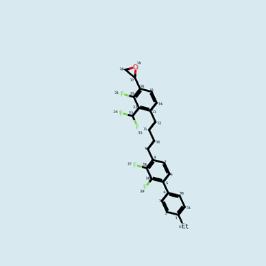 CCc1ccc(-c2ccc(CCCCc3ccc(C4CO4)c(F)c3C(F)F)c(F)c2F)cc1